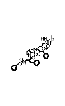 CN(CC(Cc1ccccc1)C(=O)N1CCC[C@H]1C(=O)N[C@@H](CCCNC(=N)N)C(=O)C(O[C]=O)c1ccccc1)C(=O)OCc1ccccc1